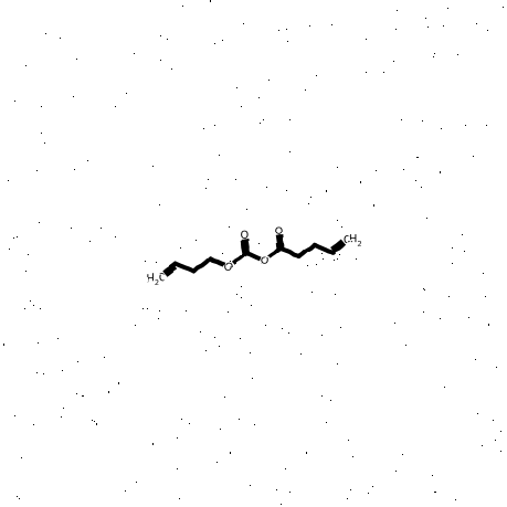 C=CCCOC(=O)OC(=O)CCC=C